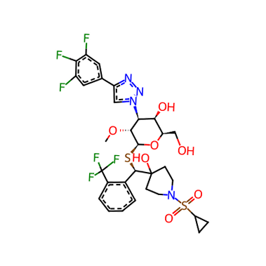 CO[C@@H]1[C@@H](n2cc(-c3cc(F)c(F)c(F)c3)nn2)[C@@H](O)[C@@H](CO)O[C@H]1S[C@H](c1ccccc1C(F)(F)F)C1(O)CCN(S(=O)(=O)C2CC2)CC1